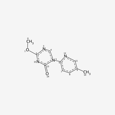 COc1ncn(-c2ccc(C)cn2)c(=O)n1